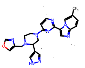 FC(F)(F)c1ccc2ncc(-c3nccc(N4CCN(Cc5cocn5)C(c5cn[nH]c5)C4)n3)n2c1